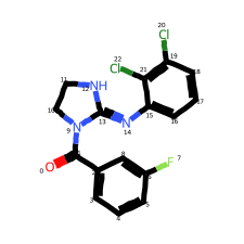 O=C(c1cccc(F)c1)N1CCNC1=Nc1cccc(Cl)c1Cl